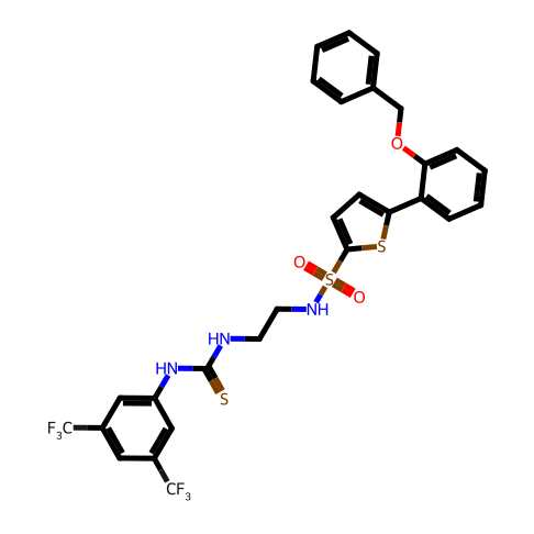 O=S(=O)(NCCNC(=S)Nc1cc(C(F)(F)F)cc(C(F)(F)F)c1)c1ccc(-c2ccccc2OCc2ccccc2)s1